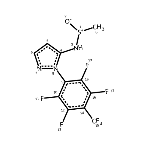 C[S+]([O-])Nc1ccnn1-c1c(F)c(F)c(C(F)(F)F)c(F)c1F